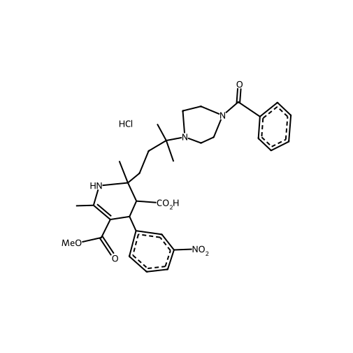 COC(=O)C1=C(C)NC(C)(CCC(C)(C)N2CCN(C(=O)c3ccccc3)CC2)C(C(=O)O)C1c1cccc([N+](=O)[O-])c1.Cl